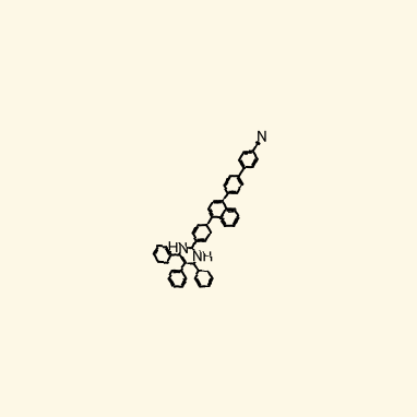 N#Cc1ccc(-c2ccc(-c3ccc(C4C=CC(C5NC(C6=CC=CCC6)=C(c6ccccc6)C(C6C=CC=CC6)N5)=CC4)c4ccccc34)cc2)cc1